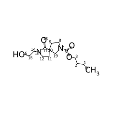 CCCCOC(=O)N1CCC2(CCN(CCO)C2=O)C1